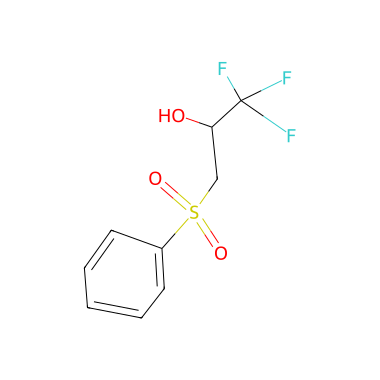 O=S(=O)(CC(O)C(F)(F)F)c1ccccc1